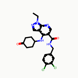 CCn1ncc2c(NC3CCC(=O)CC3)c(C(=O)NCc3ccc(Cl)c(Cl)c3)cnc21